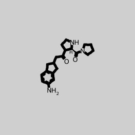 Nc1ccc2c(c1)CC(CC(=O)C1CCN[C@H]1C(=O)N1CCCC1)C2